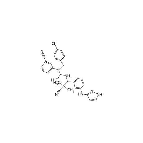 CC(NC(c1cccc(Nc2cc[nH]n2)c1)C(C)(C)C#N)C(Cc1ccc(Cl)cc1)c1cccc(C#N)c1